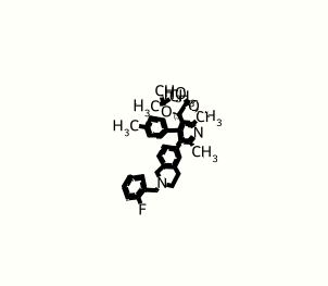 Cc1ccc(-c2c(-c3ccc4c(c3)CCN(Cc3ccccc3F)C4)c(C)nc(C)c2[C@H](OC(C)(C)C)C(=O)O)cc1